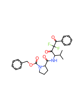 CC(C)C(NC(=O)C1CCCN1C(=O)OCc1ccccc1)C(=O)C(F)(F)C(=O)c1ccccc1